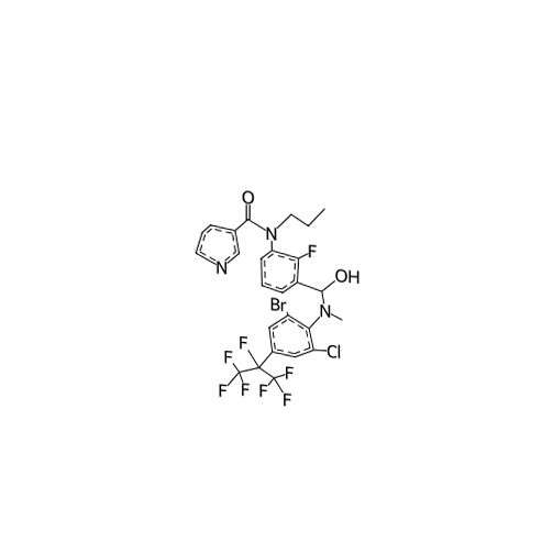 CCCN(C(=O)c1cccnc1)c1cccc(C(O)N(C)c2c(Cl)cc(C(F)(C(F)(F)F)C(F)(F)F)cc2Br)c1F